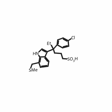 CCC(CCCS(=O)(=O)O)(c1ccc(Cl)cc1)c1c[nH]c2c(CSC)cccc12